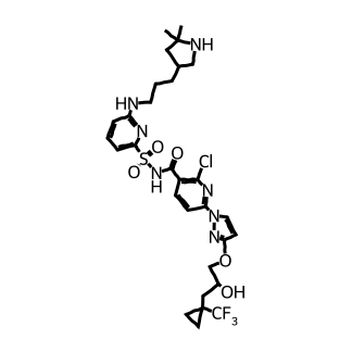 CC1(C)CC(CCCNc2cccc(S(=O)(=O)NC(=O)c3ccc(-n4ccc(OCC(O)CC5(C(F)(F)F)CC5)n4)nc3Cl)n2)CN1